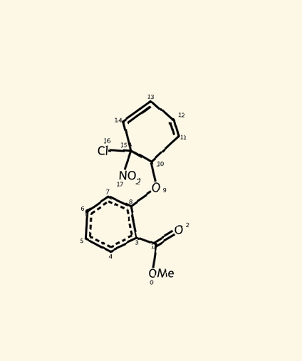 COC(=O)c1ccccc1OC1C=CC=CC1(Cl)[N+](=O)[O-]